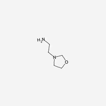 NCCN1CCOC1